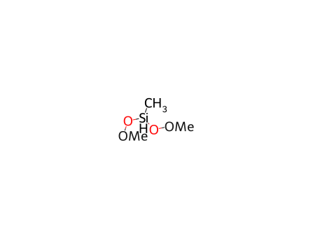 COO[SiH](C)OOC